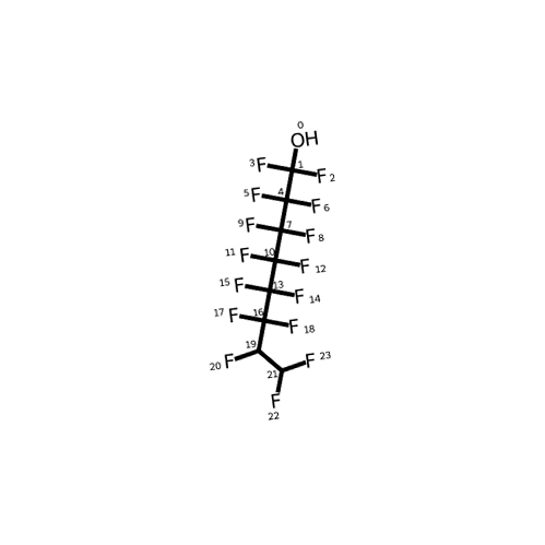 OC(F)(F)C(F)(F)C(F)(F)C(F)(F)C(F)(F)C(F)(F)C(F)C(F)F